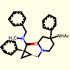 CC(=O)NC1(c2ccccc2)CCN(C[C@@H]2C[C@@]2(C(=O)N(C)Cc2ccccc2)c2ccccc2)CC1